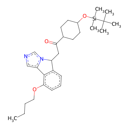 CCCCOc1cccc2c1-c1cncn1C2CC(=O)C1CCC(O[Si](C)(C)C(C)(C)C)CC1